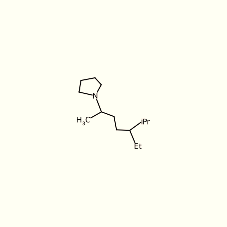 CCC(CCC(C)N1CCCC1)C(C)C